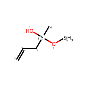 C=CC[Si](C)(O)O[SiH3]